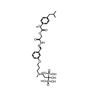 CC(C)Cc1ccc([C@H](C)C(=O)OCC(=O)N/N=C/c2cccc(OCCCN(C)CCC(O)(P(=O)(O)O)P(=O)(O)O)c2)cc1